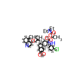 CCN(CC)C(=O)OC(C)OC(=O)C1(Nc2cccc(Cl)c2)CCC2(CC1)c1cc3c(cc1C[C@@H]2C[C@@H](C)COc1ccnc2c1[C@H](C)CCC2)OCO3